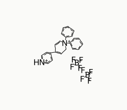 C1=C[N+](c2ccccc2)(c2ccccc2)CC=C1c1cc[nH+]cc1.F[B-](F)(F)F.F[B-](F)(F)F